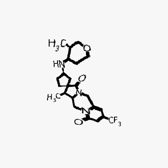 CC1C2Cn3c(cc(C(F)(F)F)cc3=O)CN2C(=O)[C@]12CC[C@@H](NC1CCOC[C@@H]1C)C2